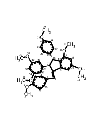 COc1ccc(/C=C2/c3cc(OC)cc(OC)c3[C@@H](c3ccc(OC)cc3)[C@@H]2c2cc(OC)cc(OC)c2)cc1